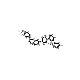 Pc1ccc(-c2ccc3ccc(-c4ccc(-c5cccc6c5oc5ncccc56)nc4)cc3c2)cc1